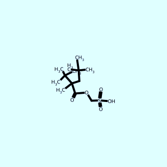 CC(C)(C)CC(C)(C(=O)OCS(=O)(=O)O)C(C)(C)C